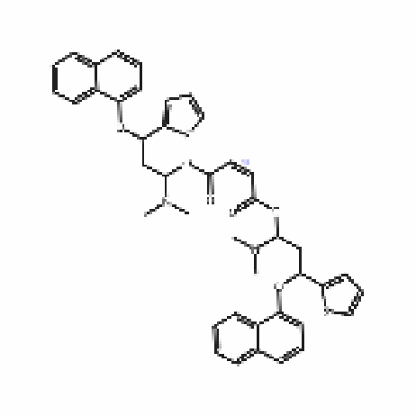 CN(C)C(CC(Oc1cccc2ccccc12)c1cccs1)OC(=O)/C=C\C(=O)OC(CC(Oc1cccc2ccccc12)c1cccs1)N(C)C